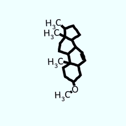 COC1CCC2(C)C(C=CC3C4CCC(C)C4(C)CCC32)C1